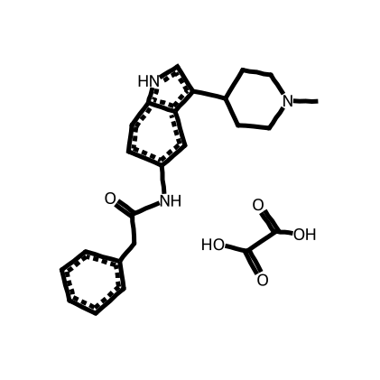 CN1CCC(c2c[nH]c3ccc(NC(=O)Cc4ccccc4)cc23)CC1.O=C(O)C(=O)O